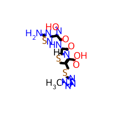 Cn1nnnc1SCC1=C(C(=O)O)N2C(=O)C(NC(=O)/C(=N/O)c3nsc(N)n3)[C@H]2SC1